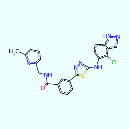 Cc1cccc(CNC(=O)c2cccc(-c3nnc(Nc4ccc5[nH]ncc5c4Cl)s3)c2)n1